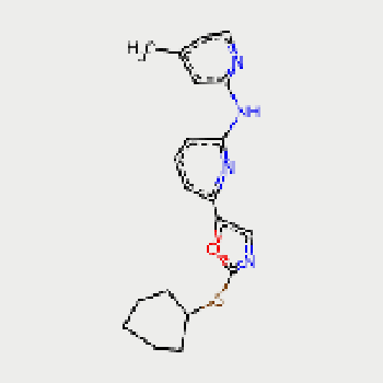 Cc1ccnc(Nc2cccc(-c3cnc(SC4CCCCC4)o3)n2)c1